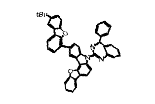 CC(C)(C)c1ccc2oc3c(-c4ccc5c(c4)c4c6oc7ccccc7c6ccc4n5-c4nc(-c5ccccc5)c5c(n4)=CCCC=5)cccc3c2c1